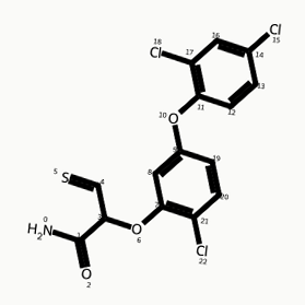 NC(=O)C(C=S)Oc1cc(Oc2ccc(Cl)cc2Cl)ccc1Cl